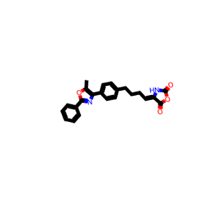 Cc1oc(-c2ccccc2)nc1-c1ccc(CCCC=C2NC(=O)OC2=O)cc1